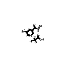 NNC(=O)c1cncc(Br)c1.O=C(O)C(F)(F)F